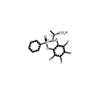 C[C@H](N[P@@](=O)(Oc1c(F)c(F)c(F)c(F)c1F)c1ccccc1)C(=O)O